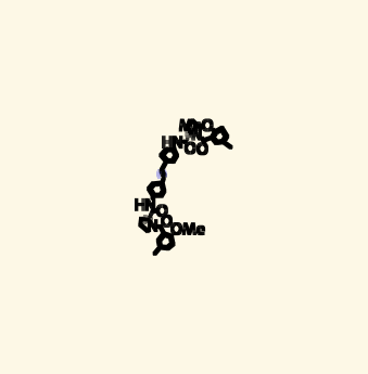 COc1ccc(C)cc1C(=O)N1CCC[C@H]1C(=O)Nc1ccc(/C=C/c2ccc(NC(=O)[C@@H]3CCCN3C(=O)c3cc(C)ccc3OC)cc2)cc1